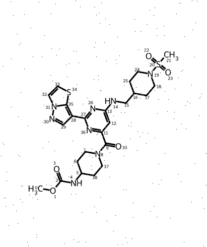 COC(=O)NC1CCN(C(=O)c2cc(NCC3CCN(S(C)(=O)=O)CC3)nc(-c3cnn4ccsc34)n2)CC1